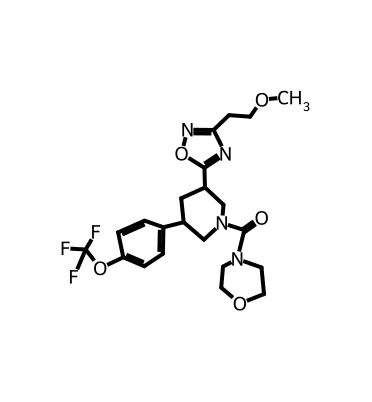 COCCc1noc(C2CC(c3ccc(OC(F)(F)F)cc3)CN(C(=O)N3CCOCC3)C2)n1